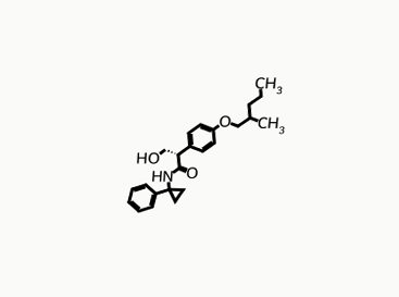 CCCC(C)COc1ccc([C@@H](CO)C(=O)NC2(c3ccccc3)CC2)cc1